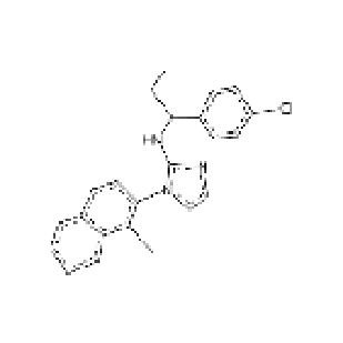 CCC(Nc1nccn1-c1ccc2ccccc2c1C)c1ccc(Cl)cc1